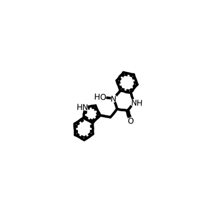 O=C1Nc2ccccc2N(O)C1Cc1c[nH]c2ccccc12